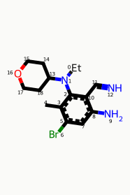 CCN(c1c(C)c(Br)cc(N)c1C=N)C1CCOCC1